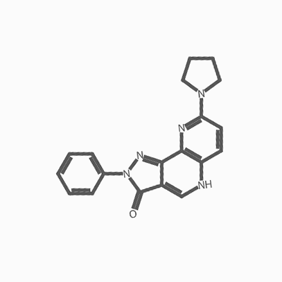 O=c1c2c[nH]c3ccc(N4CCCC4)nc3c-2nn1-c1ccccc1